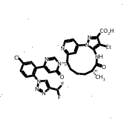 CCc1c(C(=O)O)nn2c1NC(=O)[C@H](C)CCC[C@H](n1cnc(-c3cc(Cl)ccc3-n3cc(C(F)F)nn3)cc1=O)c1cc-2ccn1